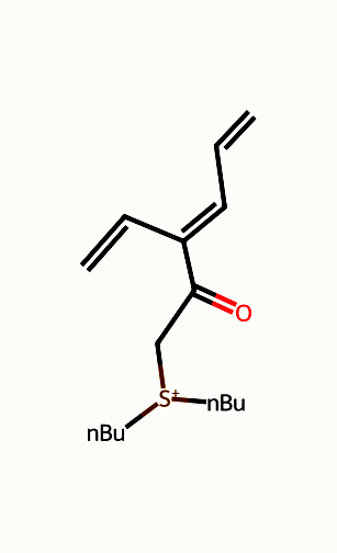 C=C/C=C(\C=C)C(=O)C[S+](CCCC)CCCC